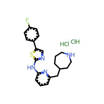 Cl.Cl.Fc1ccc(-c2cnc(Nc3cccc(CC4CCCNCC4)n3)s2)cc1